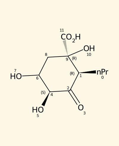 CCC[C@H]1C(=O)[C@@H](O)C(O)C[C@]1(O)C(=O)O